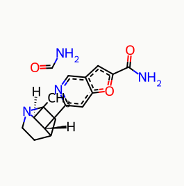 C[C@H]1[C@H](c2cc3oc(C(N)=O)cc3cn2)C2CCN1CC2.NC=O